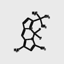 Cc1cc(C)n2c1C=C1C=CC(C(C)(C)C)=[N+]1[B-]2(F)F